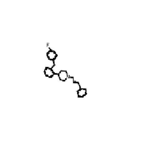 Fc1ccc(Cc2ccccc2C2CCN(C/C=C/c3ccccc3)CC2)cc1